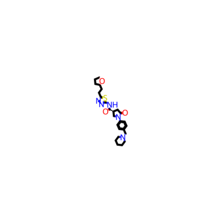 O=C(Nc1nnc(CCC2CCCO2)s1)[C@H]1CC(=O)N(c2ccc(CN3CCCCC3)cc2)C1